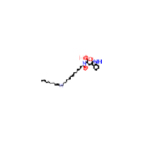 CCCCCCCC/C=C\CCCCCCCCCCCC(=O)N(C)C(Cc1c[nH]c2ccccc12)C(=O)O